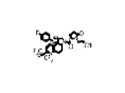 N#CCCN1C(=O)CC[C@H]1C(=O)N1CCC2(S(=O)(=O)c3ccc(F)cc3)c3ccc(C(F)(C(F)(F)F)C(F)(F)F)nc3CCC12